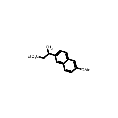 CCOC(=O)CC(C)c1ccc2cc(OC)ccc2c1